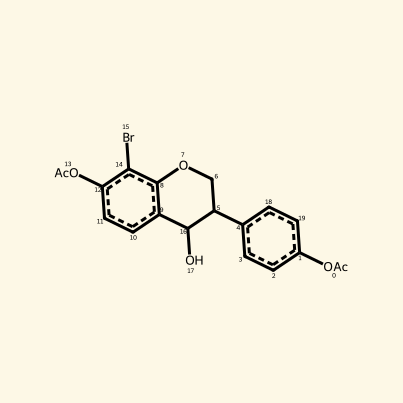 CC(=O)Oc1ccc(C2COc3c(ccc(OC(C)=O)c3Br)C2O)cc1